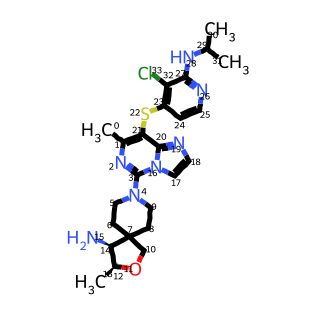 Cc1nc(N2CCC3(CC2)CO[C@@H](C)[C@H]3N)n2ccnc2c1Sc1ccnc(NC(C)C)c1Cl